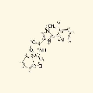 Cn1cc(C(=O)NS(=O)(=O)c2ccccc2Cl)nc1-c1ncccc1F